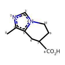 Cc1ncn2c1CC(C(=O)O)CC2